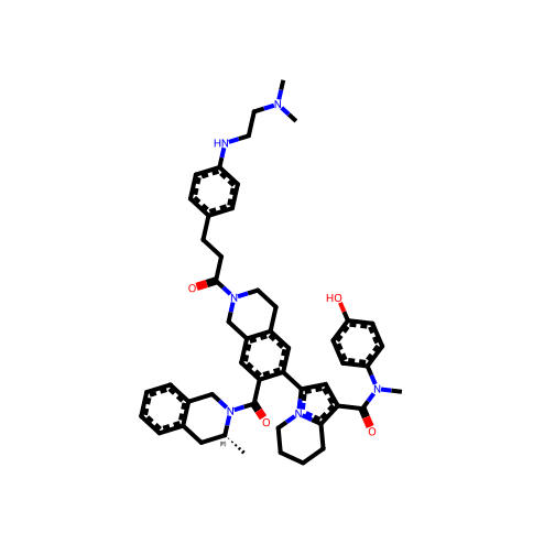 C[C@@H]1Cc2ccccc2CN1C(=O)c1cc2c(cc1-c1cc(C(=O)N(C)c3ccc(O)cc3)c3n1CCCC3)CCN(C(=O)CCc1ccc(NCCN(C)C)cc1)C2